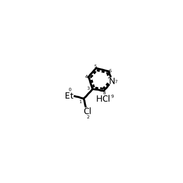 CCC(Cl)c1cccnc1.Cl